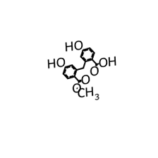 COC(=O)c1ccc(O)cc1Cc1cc(O)ccc1C(=O)O